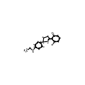 Fc1cccc(F)c1C1=NC(c2ccc(OCC(F)(F)F)cc2)CC1